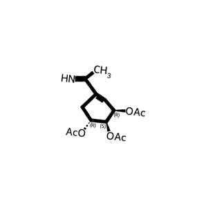 CC(=N)C1=C[C@@H](OC(C)=O)[C@@H](OC(C)=O)[C@H](OC(C)=O)C1